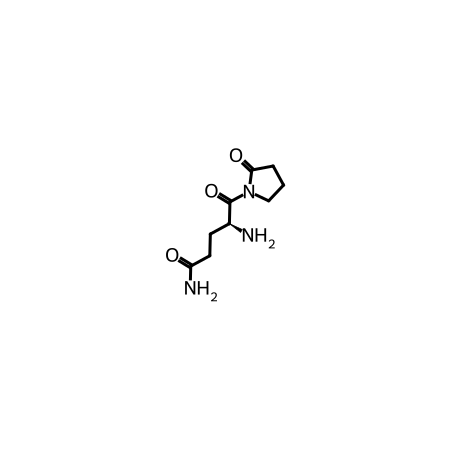 NC(=O)CC[C@H](N)C(=O)N1CCCC1=O